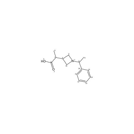 CC(C(=O)O)C1CN(C(C)c2ccccc2)C1